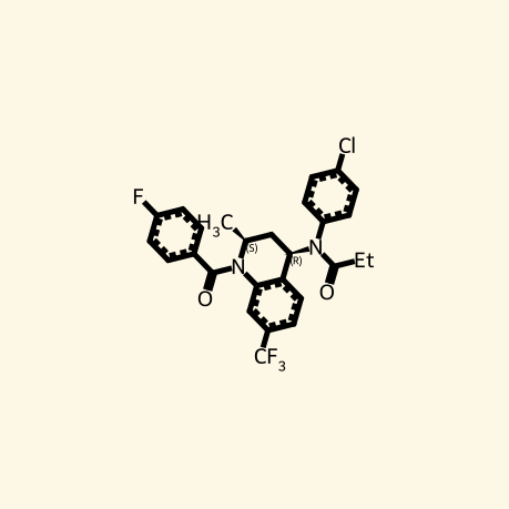 CCC(=O)N(c1ccc(Cl)cc1)[C@@H]1C[C@H](C)N(C(=O)c2ccc(F)cc2)c2cc(C(F)(F)F)ccc21